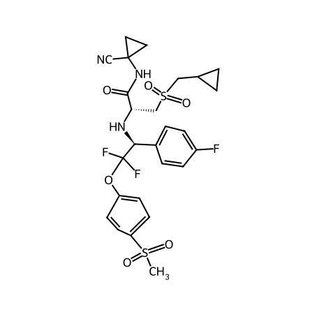 CS(=O)(=O)c1ccc(OC(F)(F)[C@@H](N[C@@H](CS(=O)(=O)CC2CC2)C(=O)NC2(C#N)CC2)c2ccc(F)cc2)cc1